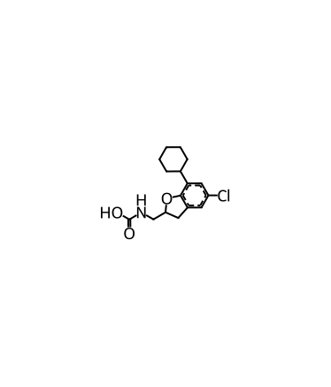 O=C(O)NCC1Cc2cc(Cl)cc(C3CCCCC3)c2O1